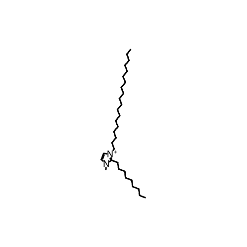 CCCCCCCCCCCCCCCCCCC[n+]1ccn(C)c1CCCCCCCCC